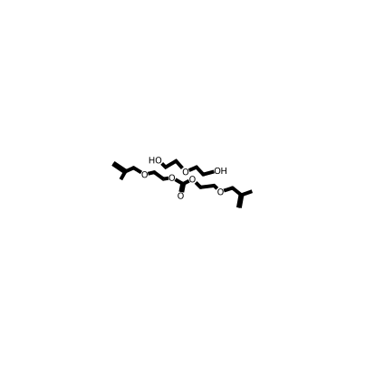 C=C(C)COCCOC(=O)OCCOCC(=C)C.OCCOCCO